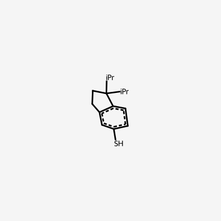 CC(C)C1(C(C)C)CCc2cc(S)ccc21